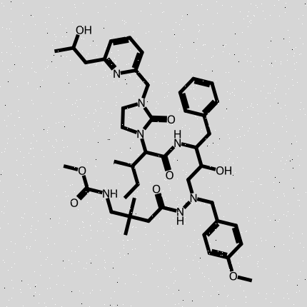 CCC(C)C(C(=O)NC(Cc1ccccc1)C(O)CN(Cc1ccc(OC)cc1)NC(=O)CC(C)(C)CNC(=O)OC)N1CCN(Cc2cccc(CC(C)O)n2)C1=O